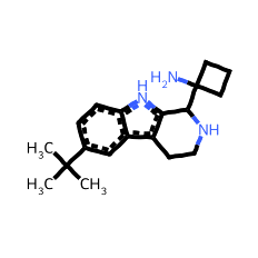 CC(C)(C)c1ccc2[nH]c3c(c2c1)CCNC3C1(N)CCC1